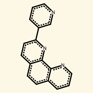 c1cncc(-c2ccc3ccc4cccnc4c3n2)c1